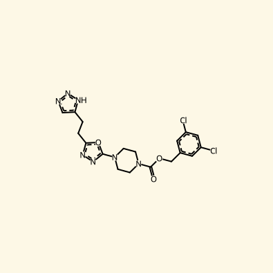 O=C(OCc1cc(Cl)cc(Cl)c1)N1CCN(c2nnc(CCc3cnn[nH]3)o2)CC1